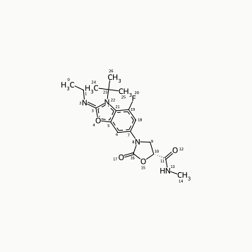 CC/N=c1/oc2cc(N3C[C@H](C(=O)NC)OC3=O)cc(F)c2n1C(C)(C)C